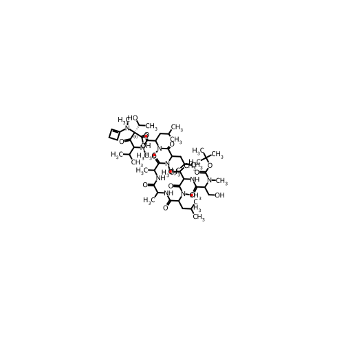 CC(C)CC(C(=O)N(C)C(CC(C)C)C(=O)N(C)C(C(=O)[C@@](C(=O)O)(C(C)O)N(C)C1=CCC1)C(C)C)N(C)C(=O)C(C)NC(=O)C(C)NC(=O)C(CC(C)C)N(C)C(=O)C(NC(=O)C(CO)N(C)C(=O)OC(C)(C)C)C(C)C